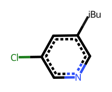 CCC(C)c1cncc(Cl)c1